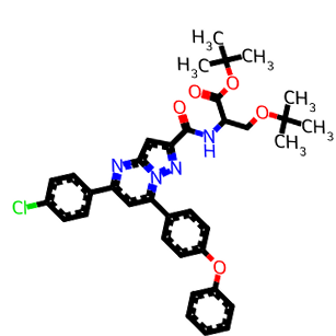 CC(C)(C)OCC(NC(=O)c1cc2nc(-c3ccc(Cl)cc3)cc(-c3ccc(Oc4ccccc4)cc3)n2n1)C(=O)OC(C)(C)C